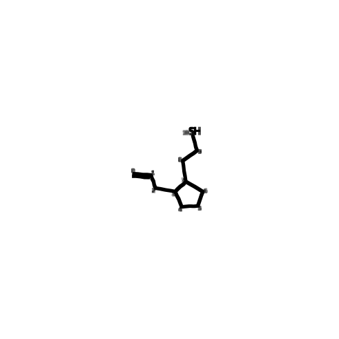 C=CCC1CCCC1CCS